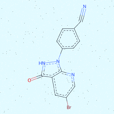 N#Cc1ccc(-n2[nH]c(=O)c3cc(Br)cnc32)cc1